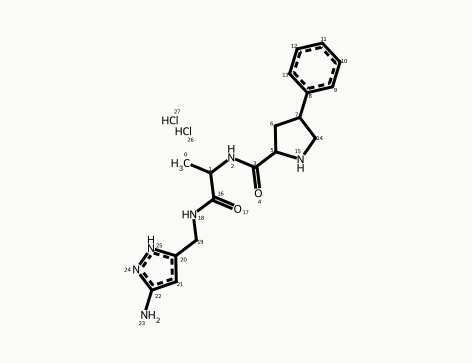 CC(NC(=O)C1CC(c2ccccc2)CN1)C(=O)NCc1cc(N)n[nH]1.Cl.Cl